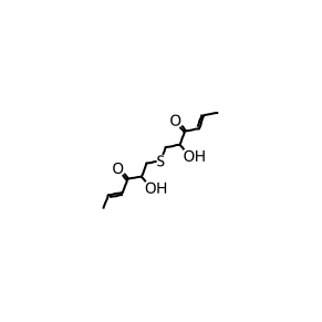 CC=CC(=O)C(O)CSCC(O)C(=O)C=CC